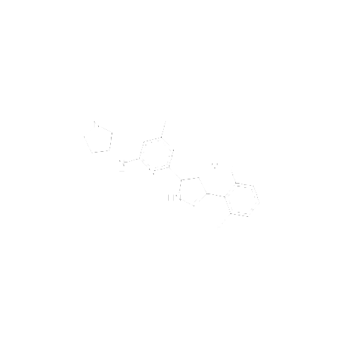 COc1cccc(F)c1C1=CNC(c2cc(C)cc(N[C@@H]3CCNC3)n2)C1